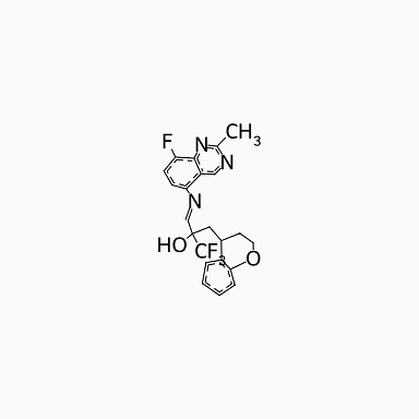 Cc1ncc2c(N=CC(O)(CC3CCOc4ccccc43)C(F)(F)F)ccc(F)c2n1